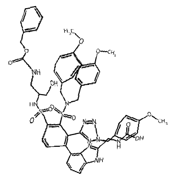 COc1ccc(CN(Cc2ccc(OC)cc2)S(=O)(=O)c2c(S(=O)(=O)NC(CO)CNC(=O)OCc3ccccc3)ccc(-c3cccc4[nH]c(CNC(=O)O)nc34)c2-c2nnn(Cc3ccc(OC)cc3)n2)cc1